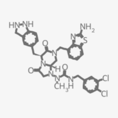 CN(C(=O)NCc1ccc(Cl)c(Cl)c1)N1CC(=O)N2[C@@H](Cc3ccc4c(c3)CNN4)C(=O)N(Cc3cccc4sc(N)nc34)C[C@@H]21